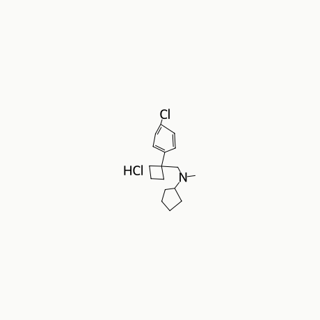 CN(CC1(c2ccc(Cl)cc2)CCC1)C1CCCC1.Cl